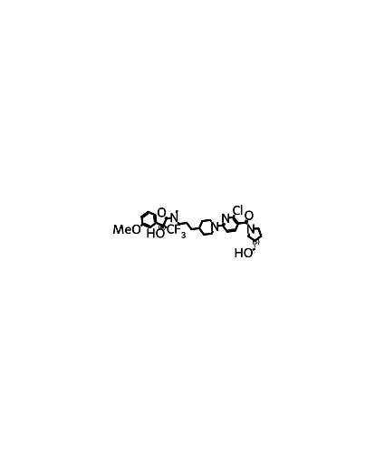 COc1cccc([C@@](O)(C(=O)N(C)CCCC2CCN(c3ccc(C(=O)N4CC[C@H](CO)C4)c(Cl)n3)CC2)C(F)(F)F)c1